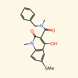 CSc1ccc2c(c1)c(O)c(C(=O)N(C)Cc1ccccc1)c(=O)n2C